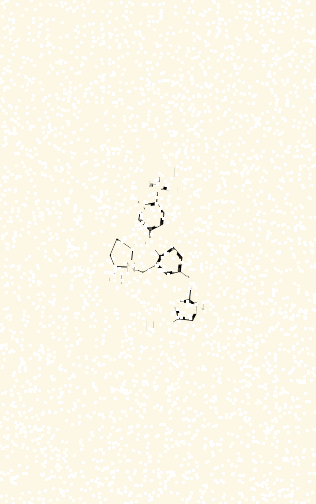 Cc1cnc(Nc2ccc(Oc3ccc(S(C)(=O)=O)nc3)c(CN3CCCC3O)c2)s1